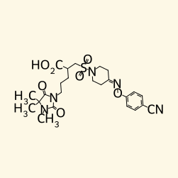 CN1C(=O)N(CCCC(CS(=O)(=O)N2CCC(=NOc3ccc(C#N)cc3)CC2)C(=O)O)C(=O)C1(C)C